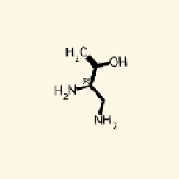 C=C(O)[C@H](N)CN